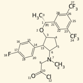 C[C@@H](OC1CCC(N(C)CC(=O)Cl)C1c1ccc(F)cc1)c1cc(C(F)(F)F)cc(C(F)(F)F)c1